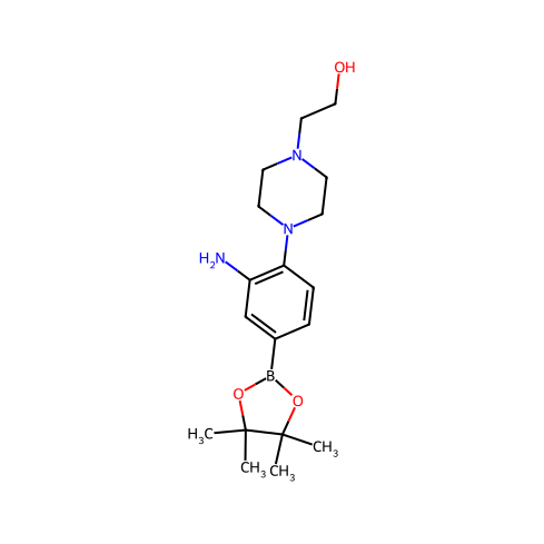 CC1(C)OB(c2ccc(N3CCN(CCO)CC3)c(N)c2)OC1(C)C